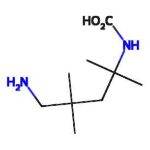 CC(C)(CN)CC(C)(C)NC(=O)O